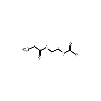 CCC(C)C(=O)OCCOC(=O)CS(=O)(=O)O